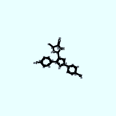 CC1OC(c2cn(-c3ccc(Br)cc3)nc2-c2ccc(F)cc2)NC1=O